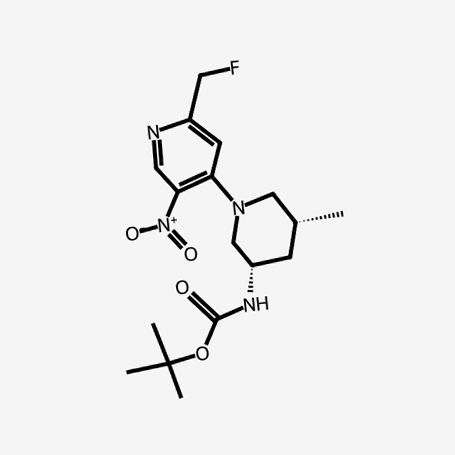 C[C@@H]1C[C@H](NC(=O)OC(C)(C)C)CN(c2cc(CF)ncc2[N+](=O)[O-])C1